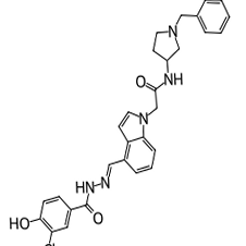 O=C(Cn1ccc2c(/C=N/NC(=O)c3ccc(O)c(Cl)c3)cccc21)NC1CCN(Cc2ccccc2)C1